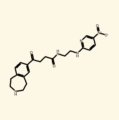 O=C(CCC(=O)c1ccc2c(c1)CCNCC2)NCCNc1ccc([N+](=O)[O-])cn1